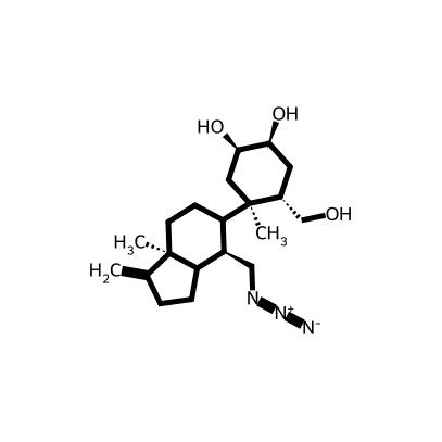 C=C1CCC2[C@H](CN=[N+]=[N-])C([C@@]3(C)C[C@@H](O)[C@@H](O)C[C@@H]3CO)CC[C@]12C